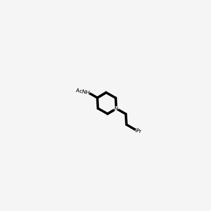 CC(=O)NC1CCN(CCC(C)C)CC1